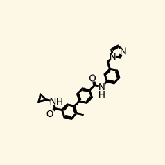 Cc1ccc(C(=O)NC2CC2)cc1-c1ccc(C(=O)Nc2cccc(Cn3ccnc3)c2)cc1